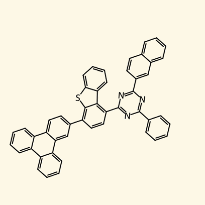 c1ccc(-c2nc(-c3ccc4ccccc4c3)nc(-c3ccc(-c4ccc5c6ccccc6c6ccccc6c5c4)c4sc5ccccc5c34)n2)cc1